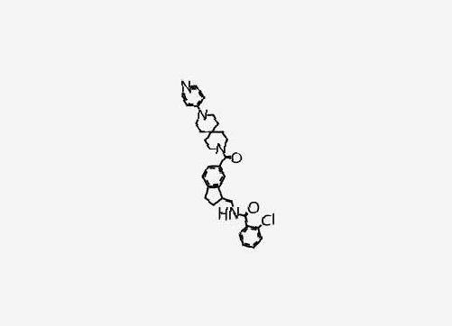 O=C(NCC1CCc2ccc(C(=O)N3CCC4(CC3)CCN(c3ccncc3)CC4)cc21)c1ccccc1Cl